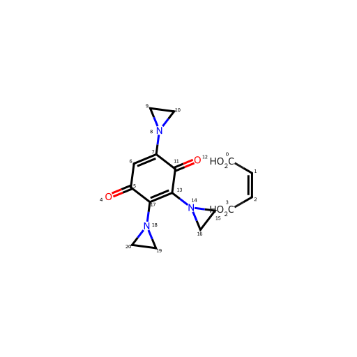 O=C(O)/C=C\C(=O)O.O=C1C=C(N2CC2)C(=O)C(N2CC2)=C1N1CC1